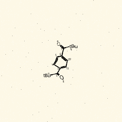 CC(C)(C)C(=O)c1ccc(C(=O)C(C)(C)C)cc1